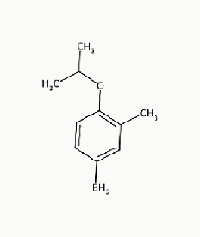 Bc1ccc(OC(C)C)c(C)c1